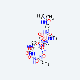 CCCC1NC(=O)CNC(=O)[C@H](NC(=O)C(C[C@@H](O)CO)NC(=O)[C@@H]2CCCN2C(=O)[C@H](CC(=O)NCc2ccc(NC(=O)[C@H](C)NC)cc2)NC)Cc2c([nH]c3ccccc23)[S+]([O-])C(C=O)NC(=O)CNC1=O